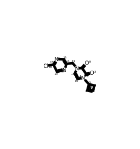 O=c1c(=O)n(C23CC(C2)C3)ccn1Cc1cnc(Cl)cn1